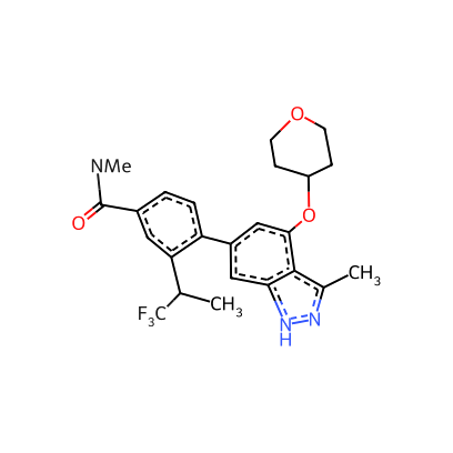 CNC(=O)c1ccc(-c2cc(OC3CCOCC3)c3c(C)n[nH]c3c2)c(C(C)C(F)(F)F)c1